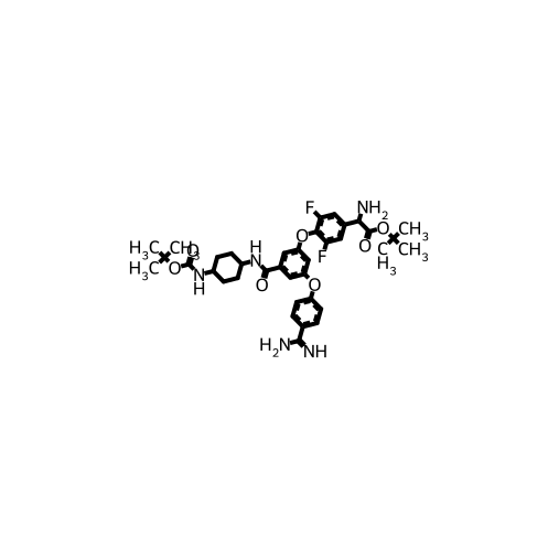 CC(C)(C)OC(=O)NC1CCC(NC(=O)c2cc(Oc3ccc(C(=N)N)cc3)cc(Oc3c(F)cc(C(N)C(=O)OC(C)(C)C)cc3F)c2)CC1